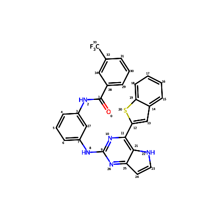 O=C(Nc1cccc(Nc2nc(-c3cc4ccccc4s3)c3[nH]ccc3n2)c1)c1cccc(C(F)(F)F)c1